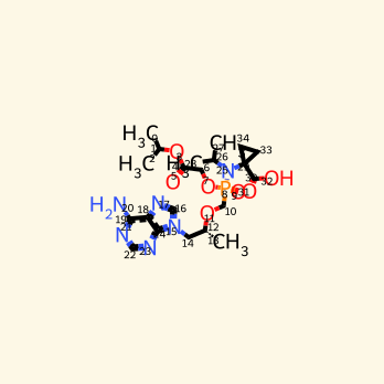 CC(C)OC(=O)COP(=O)(CO[C@H](C)Cn1cnc2c(N)ncnc21)N(C(C)C)C1(C(=O)O)CC1